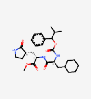 COC(=O)[C@H](C[C@@H]1CCNC1=O)NC(=O)[C@H](CC1CCCCC1)NC(=O)OC(c1ccccc1)C(C)C